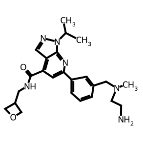 CC(C)n1ncc2c(C(=O)NCC3COC3)cc(-c3cccc(CN(C)CCN)c3)nc21